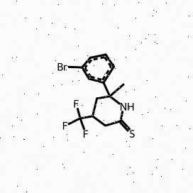 CC1(c2cccc(Br)c2)CC(C(F)(F)F)CC(=S)N1